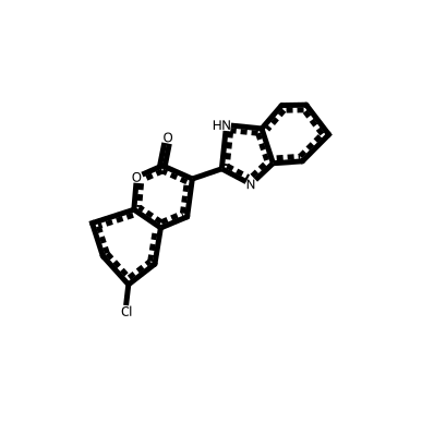 O=c1oc2ccc(Cl)cc2cc1-c1nc2ccccc2[nH]1